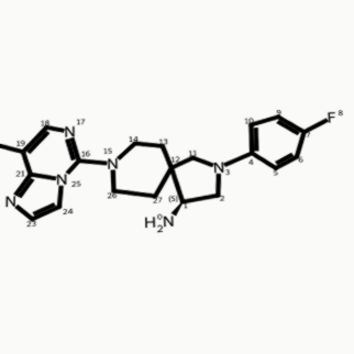 N[C@@H]1CN(c2ccc(F)cc2)CC12CCN(c1ncc(I)c3nccn13)CC2